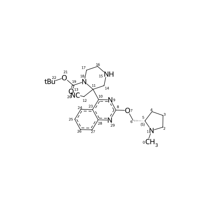 CN1CCC[C@H]1COc1nc(C2(CC#N)CNCCN2C(=O)OC(C)(C)C)c2ccccc2n1